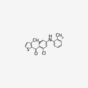 Cc1ccccc1Nc1ccc(C(=O)c2sccc2C)c(Cl)c1